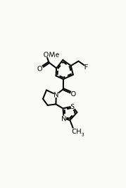 COC(=O)c1cc(CF)cc(C(=O)N2CCCC2c2nc(C)cs2)c1